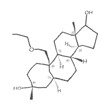 CCOC[C@]12CC[C@@](C)(O)C[C@@H]1CC[C@@H]1[C@@H]2CC[C@]2(C)C(O)CC[C@@H]12